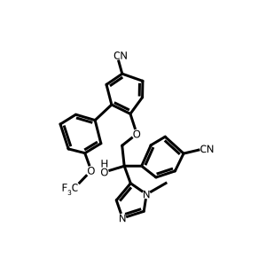 Cn1cncc1C(O)(COc1ccc(C#N)cc1-c1cccc(OC(F)(F)F)c1)c1ccc(C#N)cc1